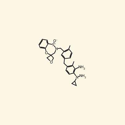 Cc1ccc(Cc2ccc(N(N)C3CC3)c(N)c2C)cc1CN1CC2(COC2)Oc2ccccc2[S+]1[O-]